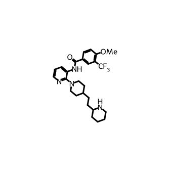 COc1ccc(C(=O)Nc2cccnc2N2CCC(CCC3CCCCN3)CC2)cc1C(F)(F)F